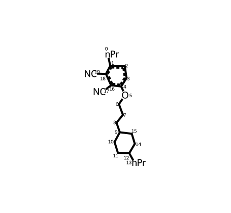 CCCc1ccc(OCCCC2CCC(CCC)CC2)c(C#N)c1C#N